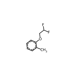 Cc1c[c]ccc1OCC(F)F